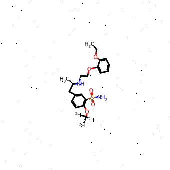 [2H]C([2H])([2H])Oc1ccc(C[C@@H](C)NCCOc2ccccc2OCC)cc1S(N)(=O)=O